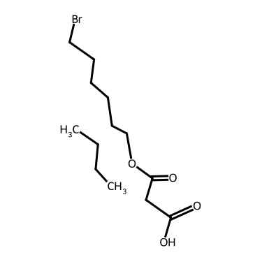 CCCC.O=C(O)CC(=O)OCCCCCCBr